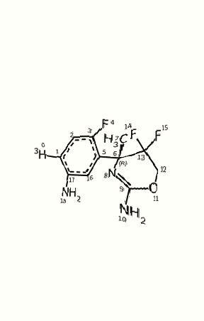 [3H]c1cc(F)c([C@@]2(C)N=C(N)OCC2(F)F)cc1N